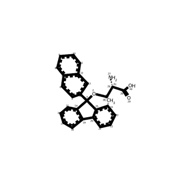 C[C@@H](OC1(c2ccc3ccccc3c2)c2ccccc2-c2ccccc21)[C@H](N)C(=O)O